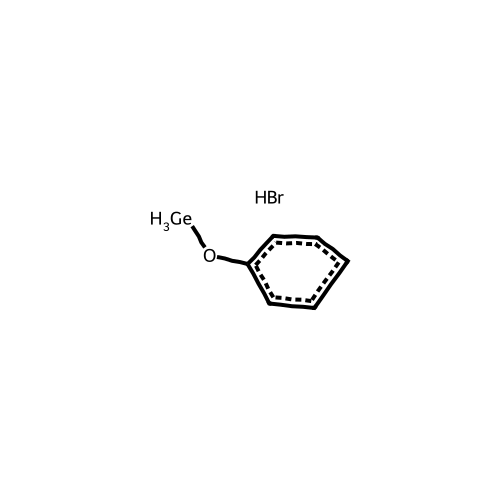 Br.[GeH3][O]c1ccccc1